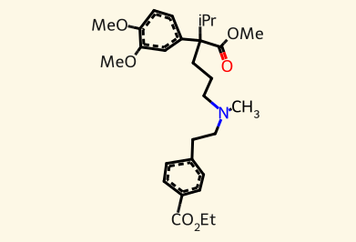 CCOC(=O)c1ccc(CCN(C)CCCC(C(=O)OC)(c2ccc(OC)c(OC)c2)C(C)C)cc1